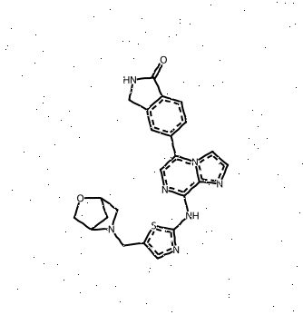 O=C1NCc2cc(-c3cnc(Nc4ncc(CN5CC6CC5CO6)s4)c4nccn34)ccc21